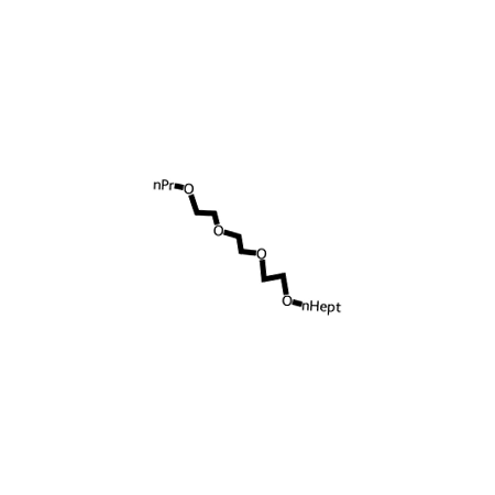 CCCCCCCOCCOCCOCCOCCC